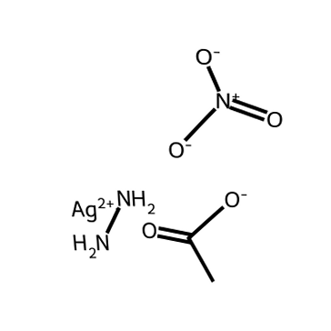 CC(=O)[O-].NN.O=[N+]([O-])[O-].[Ag+2]